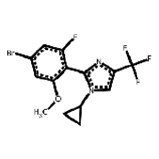 COc1cc(Br)cc(F)c1-c1nc(C(F)(F)F)cn1C1CC1